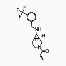 C=CC(=O)N1CC[C@@H]2[C@H](C1)[C@H]2NCc1cccc(C(F)(F)F)c1